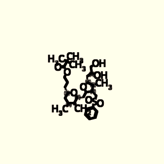 C=C1[C@H](C)C[C@H](CCCOC(=O)C(C)(C)C)O[C@@H]1CC1O[C@H](C[C@H](O)CO)[C@H](C)[C@H]1CS(=O)(=O)c1ccccc1